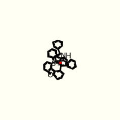 C1=C(c2ccccc2)NC(c2ccccc2)N=C1c1cccc2oc3cccc(-c4cccc5c4sc4ccccc45)c3c12